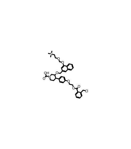 C[Si](C)(C)CCOCOc1cc(COC2CN(C(=O)O)CCC2c2ccc(OCCOC(=O)c3ccccc3CCl)cc2)cc2ccccc12